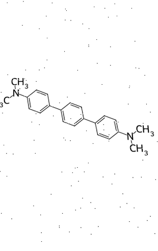 CN(C)c1ccc(-c2ccc(-c3ccc(N(C)C)cc3)cc2)cc1